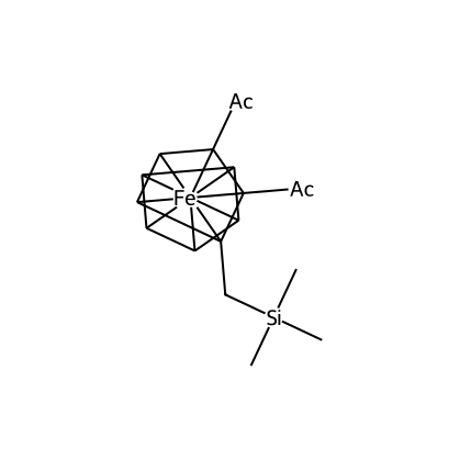 CC(=O)[C]12[CH]3[CH]4[C]5(C[Si](C)(C)C)[C]1(C(C)=O)[Fe]43521678[CH]2[CH]1[CH]6[CH]7[CH]28